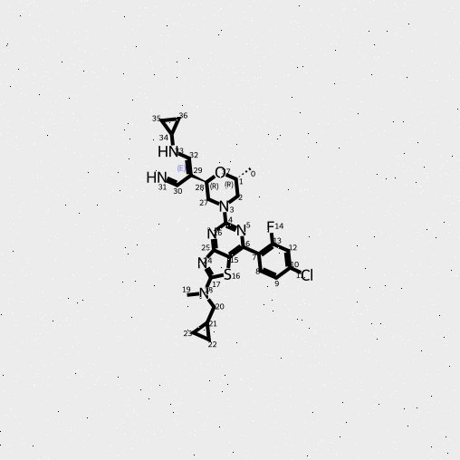 C[C@@H]1CN(c2nc(-c3ccc(Cl)cc3F)c3sc(N(C)CC4CC4)nc3n2)C[C@@H](/C(C=N)=C/NC2CC2)O1